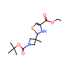 CCOC(=O)C1=CSC(C2(C)CN(C(=O)OC(C)(C)C)C2)N1